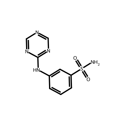 NS(=O)(=O)c1cccc(Nc2ncncn2)c1